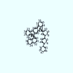 C1=CC(c2ccc(-c3cccc(-n4c5ccccc5c5cc6c7ccccc7n(-c7cccc8ccccc78)c6cc54)c3)cc2)=CCC1